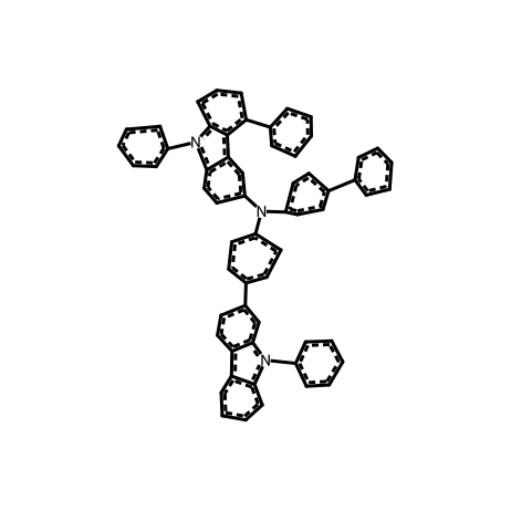 c1ccc(-c2ccc(N(c3ccc(-c4ccc5c6ccccc6n(-c6ccccc6)c5c4)cc3)c3ccc4c(c3)c3c(-c5ccccc5)cccc3n4-c3ccccc3)cc2)cc1